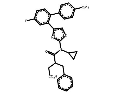 COc1ccc(-c2ccc(F)cc2-c2csc(N(C(=O)C(CC(=O)O)Cc3ccccc3)C3CC3)n2)cn1